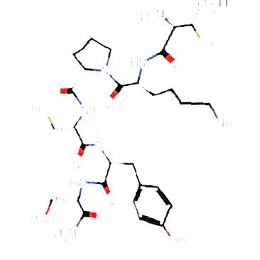 NCCCC[C@H](NC(=O)[C@@H](N)[C@@H](S)C(=O)O)C(=O)N1CCC[C@H]1C(=O)N[C@@H](CS)C(=O)N[C@@H](Cc1ccc(O)cc1)C(=O)N[C@@H](CO)C(N)=O